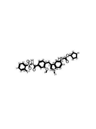 COc1cc(C(=O)NS(=O)(=O)c2ccccc2I)ccc1Cc1cn(C)c2ccc(NC(=O)OC3CCCC3)cc12